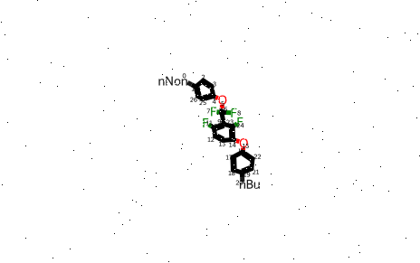 CCCCCCCCCc1ccc(OC(F)(F)c2c(F)c[c]c(Oc3ccc(CCCC)cc3)c2F)cc1